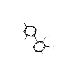 Oc1ccc(-c2ccc(O)c(O)c2O)c(F)c1